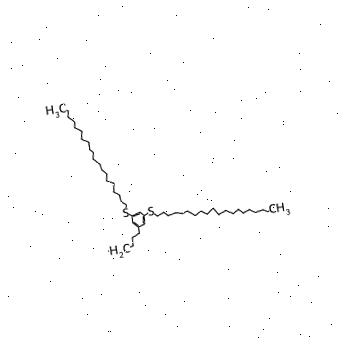 [CH2]CCCc1cc(SCCCCCCCCCCCCCCCCCCCC)cc(SCCCCCCCCCCCCCCCCCCCC)c1